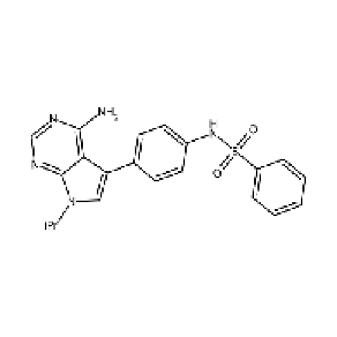 CC(C)n1cc(-c2ccc(NS(=O)(=O)c3ccccc3)cc2)c2c(N)ncnc21